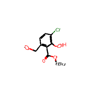 CC(C)(C)OC(=O)c1c(C[O])ccc(Cl)c1O